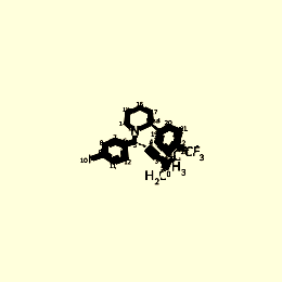 C=C(C)C#C[C@H](c1ccc(I)cc1)N1CC[CH]C[C@H]1c1ccc(C(F)(F)F)cc1